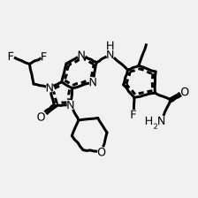 Cc1cc(C(N)=O)c(F)cc1Nc1ncc2c(n1)n(C1CCOCC1)c(=O)n2CC(F)F